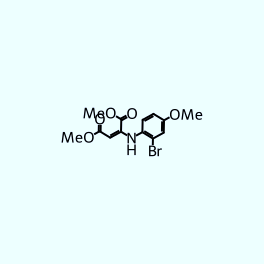 COC(=O)C=C(Nc1ccc(OC)cc1Br)C(=O)OC